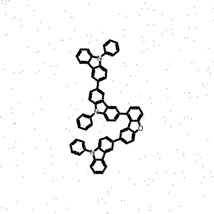 c1ccc(-n2c3ccccc3c3cc(-c4ccc5oc6cccc(-c7ccc8c(c7)c7cc(-c9ccc%10c(c9)c9ccccc9n%10-c9ccccc9)ccc7n8-c7ccccc7)c6c5c4)ccc32)cc1